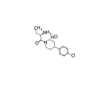 CC[C@@H](N)C(=O)N1CCC(c2ccc(Cl)cc2)CC1.Cl